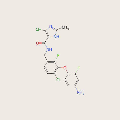 Cc1nc(Cl)c(C(=O)NCc2ccc(Cl)c(Oc3ccc(N)cc3F)c2F)[nH]1